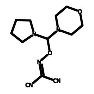 [C-]#[N+]C(C#N)=NOC(N1CCCC1)N1CCOCC1